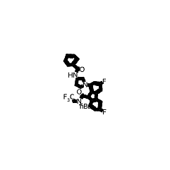 CCCCN(CC(F)(F)F)C(=O)C1c2ccc(F)cc2-c2cc(F)cc(N3CCC(NC(=O)c4ccccc4)C3)c21